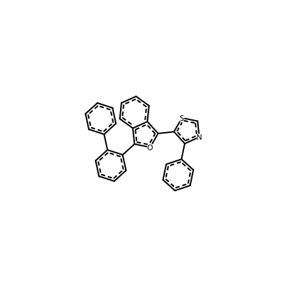 c1ccc(-c2ccccc2-c2oc(-c3scnc3-c3ccccc3)c3ccccc23)cc1